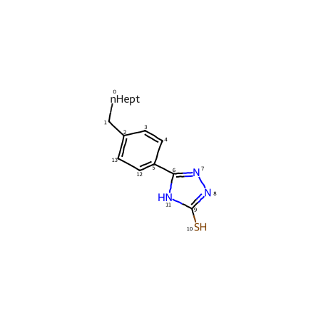 CCCCCCCCc1ccc(-c2nnc(S)[nH]2)cc1